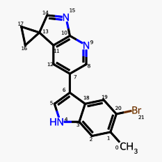 Cc1cc2[nH]cc(-c3cnc4c(c3)C3(C=N4)CC3)c2cc1Br